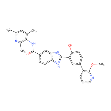 COc1ncccc1-c1ccc(O)c(-c2nc3cc(C(=O)Nc4c(C)cc(C)nc4C)ccc3[nH]2)c1